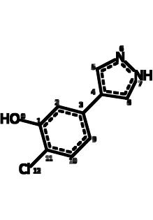 Oc1cc(-c2cn[nH]c2)ccc1Cl